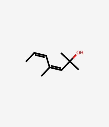 C/C=C\C(C)=C/C(C)(C)O